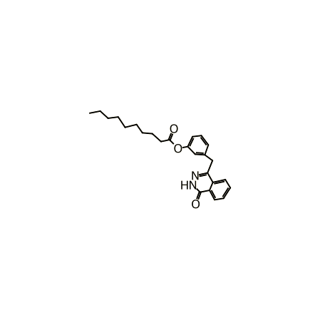 CCCCCCCCCC(=O)Oc1cccc(Cc2n[nH]c(=O)c3ccccc23)c1